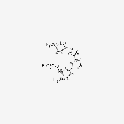 CCOC(=O)CNc1cc(C2CCCN(C(=O)OCc3ccc(C(F)(F)F)cc3)C2)ccc1C